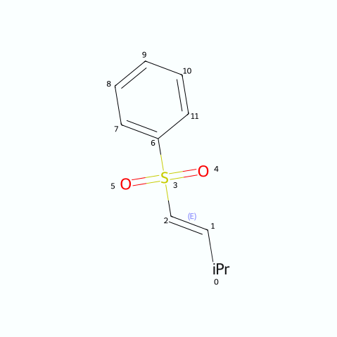 CC(C)/C=C/S(=O)(=O)c1ccccc1